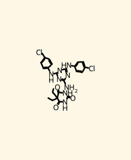 CCC1(CC)C(=O)NC(=O)NC1=O.Nc1nc(Nc2ccc(Cl)cc2)nc(Nc2ccc(Cl)cc2)n1